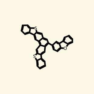 c1ccc2c(c1)oc1ccc(-c3cc4cc5sc6ccccc6c5cc4c4cc5sc6ccccc6c5cc34)cc12